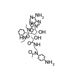 CCNOC(c1ccccc1)(N(C=O)CC)[C@@]1(CCC(=O)NCCN(C(C)=O)c2ccc(N)cc2)O[C@@H](n2cnc3c(N)ncnc32)[C@H](O)[C@@H]1O